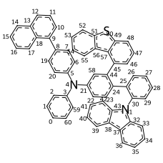 c1ccc(N(c2ccc(-c3cccc4ccccc34)cc2)c2ccc(-c3ccccc3-n3c4ccccc4c4ccccc43)c(-c3cccc4sc5ccccc5c34)c2)cc1